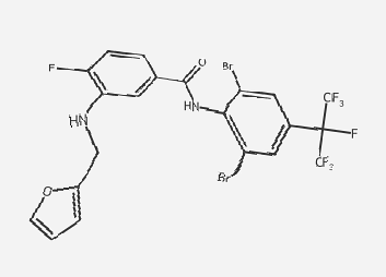 O=C(Nc1c(Br)cc(C(F)(C(F)(F)F)C(F)(F)F)cc1Br)c1ccc(F)c(NCc2ccco2)c1